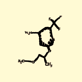 COCC(C)Oc1cc(N)cc(C(F)(F)F)n1